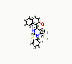 CC1(C)[C@H]2COc3ccc4ccccc4c3[C@H]2N=C2Sc3ccccc3N21